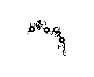 COCCNCc1ccc(-c2cc3nccc(Oc4ccc(NC(=O)C5(C(=O)Nc6ccc(F)cc6)CC5)cc4F)c3s2)cc1